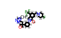 Cn1cnnc1CC1(c2cccc(N3Cc4c(cc(CN5CCC(F)CC5)cc4C(F)(F)F)C3=O)c2)COC1